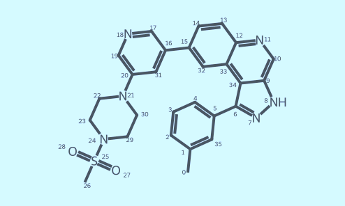 Cc1cccc(-c2n[nH]c3cnc4ccc(-c5cncc(N6CCN(S(C)(=O)=O)CC6)c5)cc4c23)c1